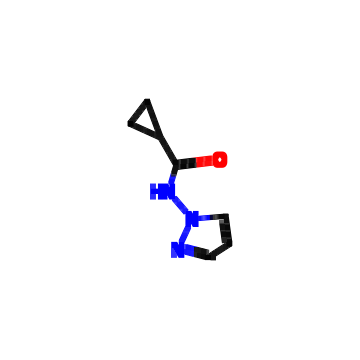 O=C(Nn1cc[c]n1)C1CC1